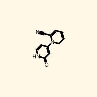 N#CC1=C[C]=CCN1c1cc[nH]c(=O)c1